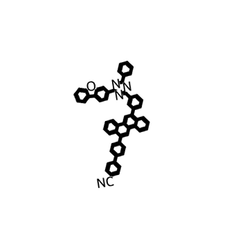 N#Cc1ccc(-c2ccc(-c3cc4c5ccccc5c(-c5cccc(-c6nc(-c7ccccc7)nc(-c7ccc8c(c7)oc7ccccc78)n6)c5)cc4c4ccccc34)cc2)cc1